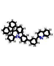 c1ccc(C2(c3ccccc3)c3ccccc3-n3c4ccc(-c5cccc(-c6ccc7ccccc7n6)c5)cc4c4cccc2c43)cc1